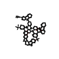 CC(C)(C)c1ccc(N2c3cc(-n4c5ccccc5c5ccccc54)ccc3B3c4ccc(-n5c6ccccc6c6cc(C#N)ccc65)cc4N(c4ccc(C(C)(C)C)cc4-c4ccccc4)c4cc(-c5ccc6sc7ccc8sc9ccccc9c8c7c6c5)cc2c43)c(-c2ccccc2)c1